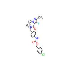 Cc1nn(C)c(C(=O)N(C)Cc2ccc(NC(=O)OCc3ccc(Cl)cc3)cc2)c1F